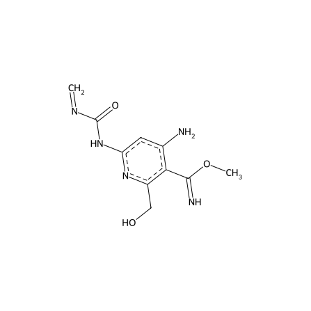 C=NC(=O)Nc1cc(N)c(C(=N)OC)c(CO)n1